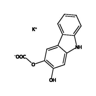 O=C([O-])Oc1cc2c(cc1O)[nH]c1ccccc12.[K+]